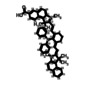 CN1/C(=C\C=C2/CCCC(/C=C/C3=[N+](C)c4ccc5cc(C(=O)O)ccc5c4C3(C)C)=C2N(c2ccccc2)c2ccccc2)C(C)(C)c2c1ccc1ccccc21